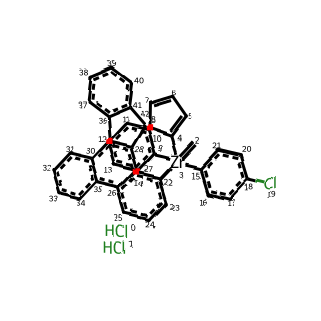 Cl.Cl.[CH2]=[Zr]([C]1=CC=CC1)([c]1ccccc1)([c]1ccc(Cl)cc1)[c]1cccc2c1c1c(c3ccccc32)-c2ccccc2C1